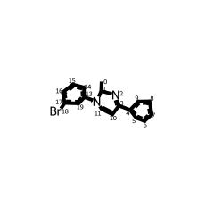 CC1N=C(c2ccccc2)C=CN1c1cccc(Br)c1